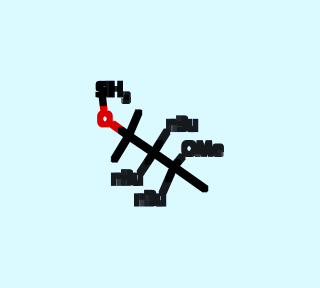 CCCCC(C)(OC)C(CCCC)(CCCC)C(C)(C)O[SiH3]